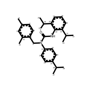 Cc1ccc(CN(C(=O)Nc2c(C(C)C)cccc2C(C)C)c2ccc(C(C)C)cc2)c(C)c1